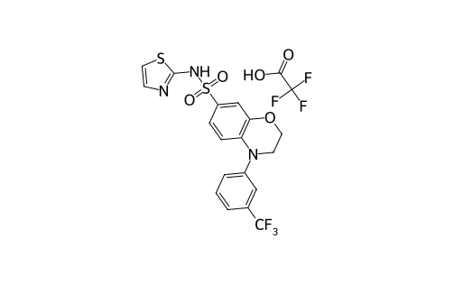 O=C(O)C(F)(F)F.O=S(=O)(Nc1nccs1)c1ccc2c(c1)OCCN2c1cccc(C(F)(F)F)c1